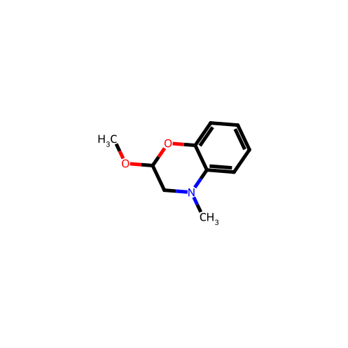 COC1CN(C)c2ccccc2O1